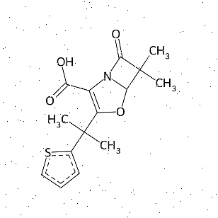 CC(C)(C1=C(C(=O)O)N2C(=O)C(C)(C)C2O1)c1cccs1